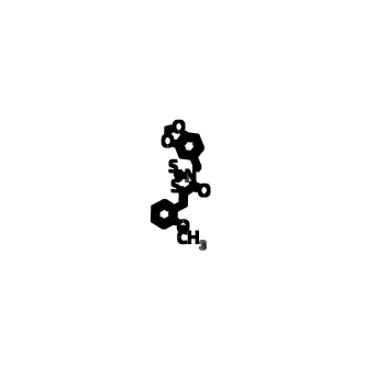 COc1ccccc1/C=C1\SC(=S)N(Cc2ccc3c(c2)OCO3)C1=O